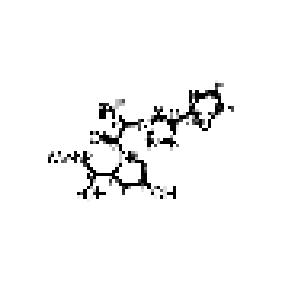 CNC(O)C1CC(O)CN1C(=O)C(C(C)C)n1cc(-c2ncco2)nn1